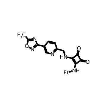 CCNc1c(NCc2ccc(-c3noc(C(F)(F)F)n3)cn2)c(=O)c1=O